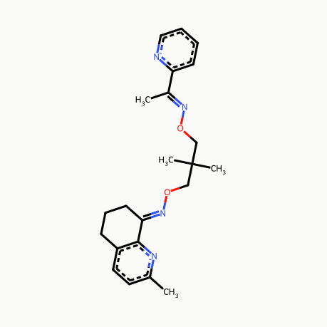 C/C(=N\OCC(C)(C)CO/N=C1\CCCc2ccc(C)nc21)c1ccccn1